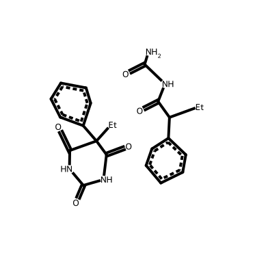 CCC(C(=O)NC(N)=O)c1ccccc1.CCC1(c2ccccc2)C(=O)NC(=O)NC1=O